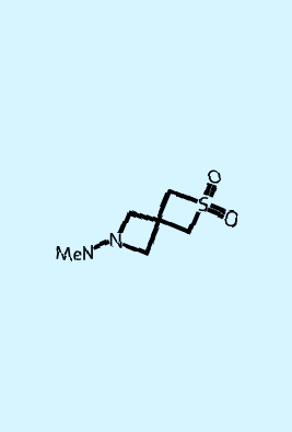 CNN1CC2(C1)CS(=O)(=O)C2